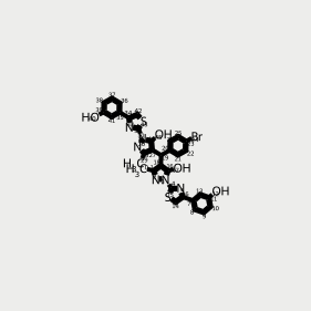 Cc1nn(-c2nc(-c3cccc(O)c3)cs2)c(O)c1C(c1ccc(Br)cc1)c1c(C)nn(-c2nc(-c3cccc(O)c3)cs2)c1O